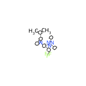 Cc1cc(C)cc(-c2ccc3c(c2)c2ccccc2n3-c2ccc(-c3cccc(C(F)(F)F)c3)c(-c3nc(-c4ccccc4)nc(-c4ccccc4)n3)c2)c1